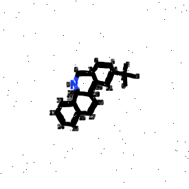 CC(C)(C)c1ccc2cnc3c4ccccc4ccc3c2c1